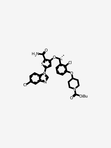 CC(C)COC(=O)N1CCC(Oc2cccc([C@@H](C)Oc3cc(-n4cnc5cc(Cl)ccc54)sc3C(N)=O)c2Cl)CC1